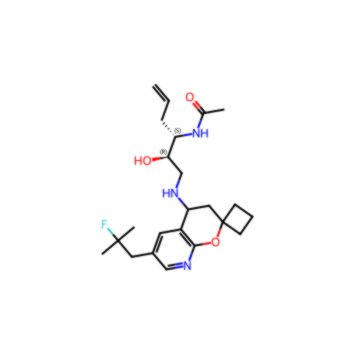 C=CC[C@H](NC(C)=O)[C@H](O)CNC1CC2(CCC2)Oc2ncc(CC(C)(C)F)cc21